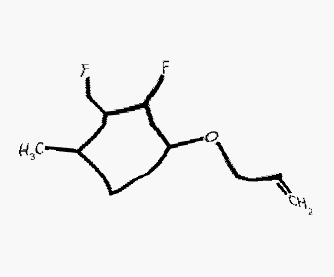 C=CCOC1CCC(C)C(F)C1F